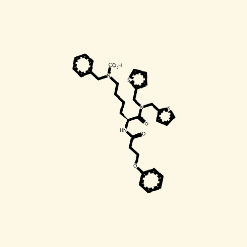 O=C(CCOc1ccccc1)N[C@@H](CCCCN(Cc1ccccc1)C(=O)O)C(=O)N(Cc1cccs1)Cc1cccs1